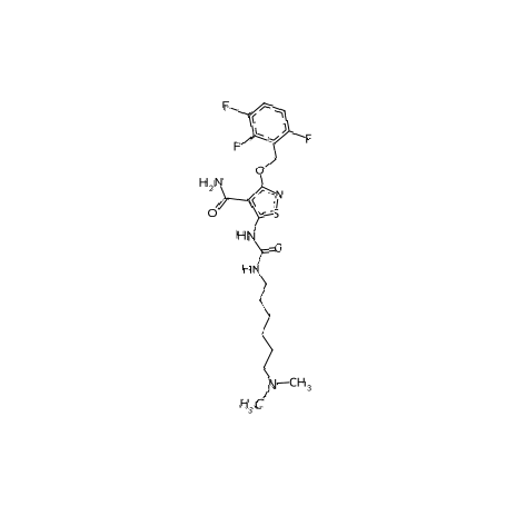 CN(C)CCCCCCNC(=O)Nc1snc(OCc2c(F)ccc(F)c2F)c1C(N)=O